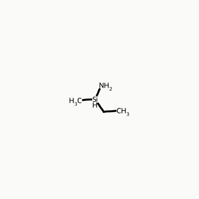 CC[SiH](C)N